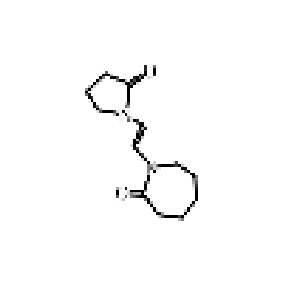 O=C1CCCCCN1C=CN1CCCC1=O